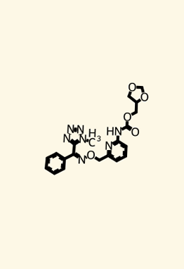 Cn1nnnc1/C(=N\OCc1cccc(NC(=O)OCC2COCO2)n1)c1ccccc1